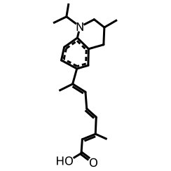 CC(C=CC=C(C)c1ccc2c(c1)CC(C)CN2C(C)C)=CC(=O)O